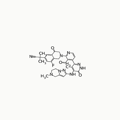 Cc1c(-c2ccnc(N3CC(=O)c4cc(C(C)(C)C#N)cc(F)c4C3)c2C=O)n[nH]c(=O)c1Nc1cc2n(n1)CCN(C)C2